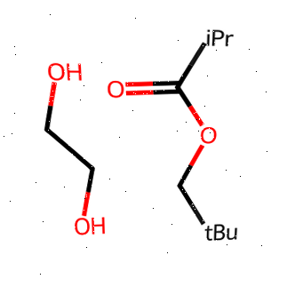 CC(C)C(=O)OCC(C)(C)C.OCCO